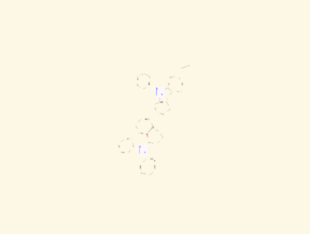 C/C=C/c1ccc2c3ccc(-c4ccc(-c5ccccc5N(c5ccccc5)c5ccccc5)cc4)cc3n(-c3ccccc3)c2c1